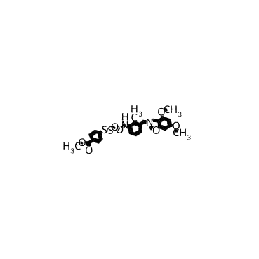 COC(=O)c1ccc(SSOONc2cccc(CN(C=O)Cc3ccc(OC)cc3OC)c2C)cc1